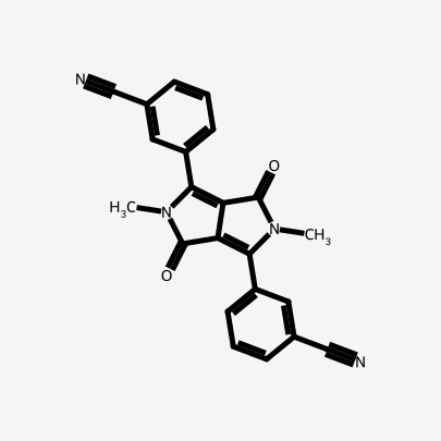 CN1C(=O)C2=C(c3cccc(C#N)c3)N(C)C(=O)C2=C1c1cccc(C#N)c1